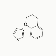 c1ccc2c(c1)CCCO2.c1cscn1